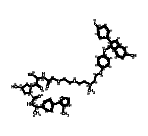 Cc1ncsc1-c1ccc([C@H](C)NC(=O)[C@@H]2C[C@@H](O)CN2C(=O)C(NC(=O)COCCOCCN(C)CCOc2ccc(Oc3c(-c4ccc(F)cc4)sc4cc(O)ccc34)cc2)C(C)(C)C)cc1